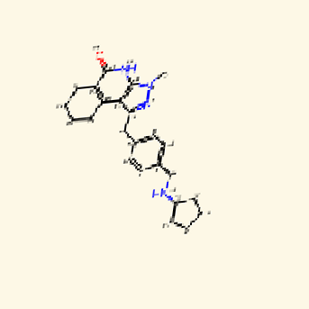 Cn1nc(Cc2ccc(CNC3CCCC3)cc2)c2c3c(c(=O)[nH]c21)CCCC3